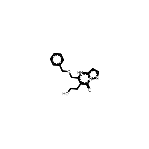 O=c1c(CCO)c(COCc2ccccc2)[nH]c2ccnn12